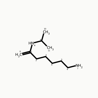 C=C(CCCCCN)NC(C)C